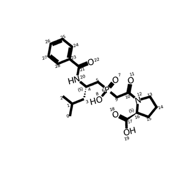 CC(C)C[C@@H](CP(=O)(O)CC(=O)N1CCC[C@H]1C(=O)O)NC(=O)c1ccccc1